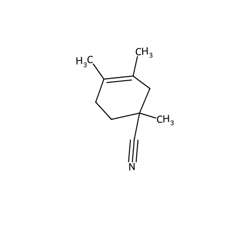 CC1=C(C)CC(C)(C#N)CC1